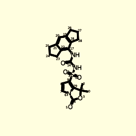 CC1(C)OC(=O)n2ccc(S(=O)(=O)NC(=O)Nc3c4c(cc5c3CCC5)CCC4)c21